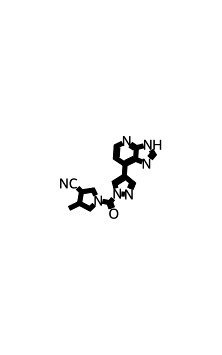 CC1CN(C(=O)n2cc(-c3ccnc4[nH]cnc34)cn2)CC1C#N